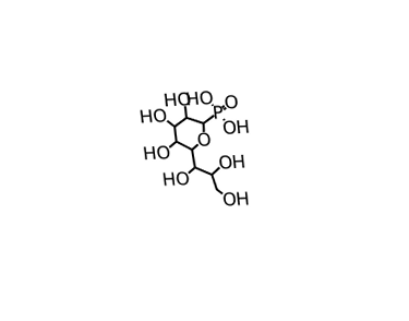 O=P(O)(O)C1OC(C(O)C(O)CO)C(O)C(O)C1O